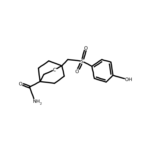 NC(=O)C12CCC(CS(=O)(=O)c3ccc(O)cc3)(CC1)CC2